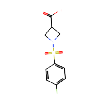 O=C(O)C1CN(S(=O)(=O)c2ccc(F)cc2)C1